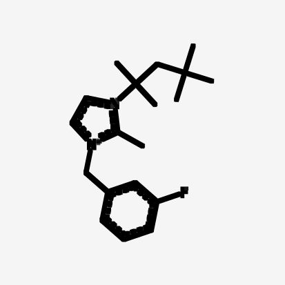 Cc1n(C(C)(C)CC(C)(C)C)cc[n+]1Cc1cccc(F)c1